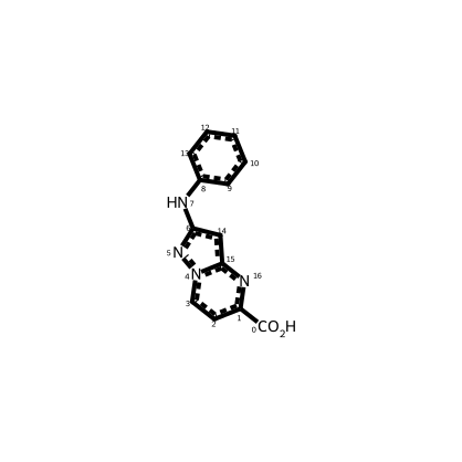 O=C(O)c1ccn2nc(Nc3ccccc3)cc2n1